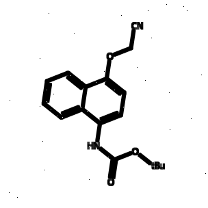 CC(C)(C)OC(=O)Nc1ccc(OCC#N)c2ccccc12